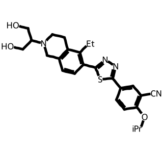 CCc1c(-c2nnc(-c3ccc(OC(C)C)c(C#N)c3)s2)ccc2c1CCN(C(CO)CO)C2